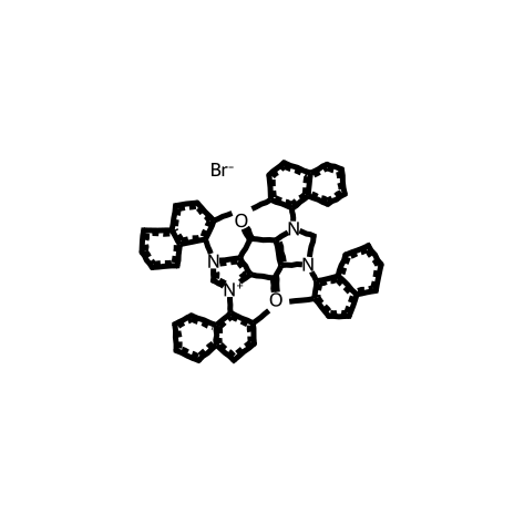 Cc1ccc2ccccc2c1N1CN(c2c(C)ccc3ccccc23)C2=C1C(=O)c1c([n+](-c3c(C)ccc4ccccc34)cn1-c1c(C)ccc3ccccc13)C2=O.[Br-]